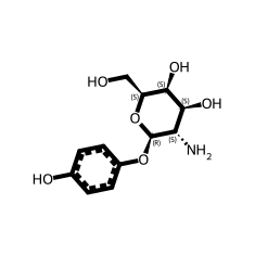 N[C@@H]1[C@@H](Oc2ccc(O)cc2)O[C@@H](CO)[C@@H](O)[C@H]1O